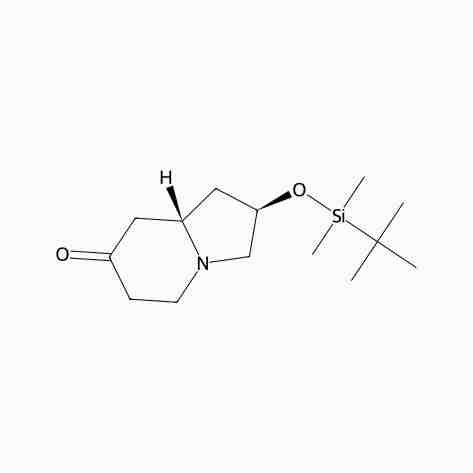 CC(C)(C)[Si](C)(C)O[C@@H]1C[C@H]2CC(=O)CCN2C1